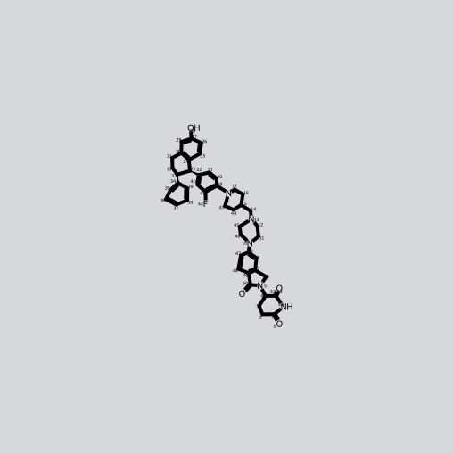 O=C1CCC(N2Cc3cc(N4CCN(CC5CCN(c6ccc([C@@H]7c8ccc(O)cc8CC[C@@H]7c7ccccc7)cc6F)CC5)CC4)ccc3C2=O)C(=O)N1